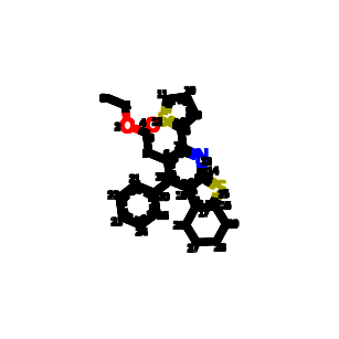 CCOC(=O)Cc1c(-c2cccs2)nc2sc3c(c2c1-c1ccccc1)CCCC3